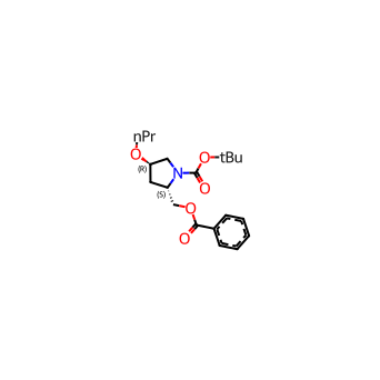 CCCO[C@@H]1C[C@@H](COC(=O)c2ccccc2)N(C(=O)OC(C)(C)C)C1